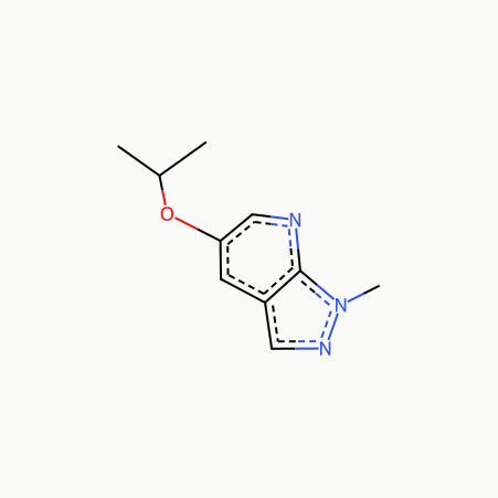 CC(C)Oc1cnc2c(cnn2C)c1